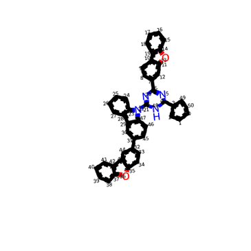 c1ccc(C2N=C(c3ccc4c(c3)oc3ccccc34)N=C(n3c4ccccc4c4cc(-c5ccc6oc7ccccc7c6c5)ccc43)N2)cc1